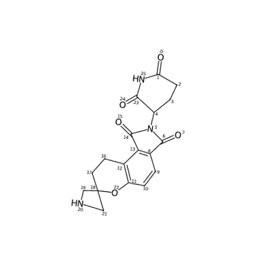 O=C1CCC(N2C(=O)c3ccc4c(c3C2=O)CCC2(CNC2)O4)C(=O)N1